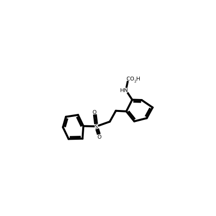 O=C(O)Nc1ccccc1CCS(=O)(=O)c1ccccc1